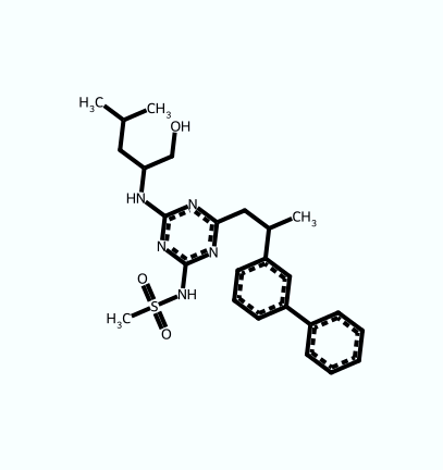 CC(C)CC(CO)Nc1nc(CC(C)c2cccc(-c3ccccc3)c2)nc(NS(C)(=O)=O)n1